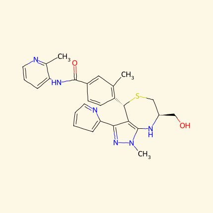 Cc1cc(C(=O)Nc2cccnc2C)ccc1[C@@H]1SC[C@@H](CO)Nc2c1c(-c1ccccn1)nn2C